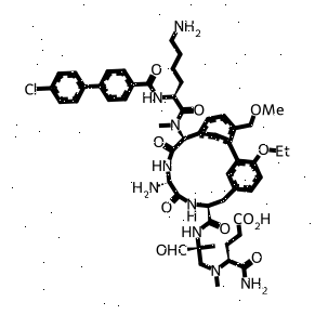 CCOc1ccc2cc1-c1cc(ccc1COC)[C@H](N(C)C(=O)[C@H](CCCCN)NC(=O)c1ccc(-c3ccc(Cl)cc3)cc1)C(=O)N[C@@H](N)C(=O)N[C@H](C(=O)N[C@@](C)(C=O)CN(C)[C@@H](CCC(=O)O)C(N)=O)C2